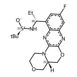 CC[C@@H](N[S@+]([O-])C(C)(C)C)c1cc(F)cc2nc3c(nc12)N1CCOC[C@H]1CO3